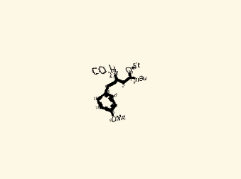 CCCCC(CC(=Cc1ccc(OC)cc1)C(=O)O)OCC